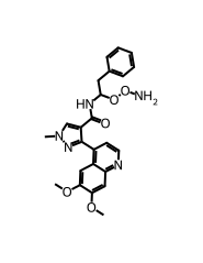 COc1cc2nccc(-c3nn(C)cc3C(=O)NC(Cc3ccccc3)OON)c2cc1OC